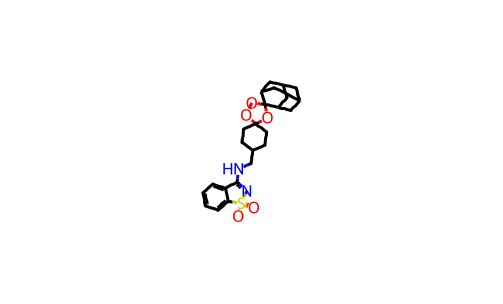 O=S1(=O)N=C(NCC2CCC3(CC2)OOC2(O3)C3CC4CC(C3)CC2C4)c2ccccc21